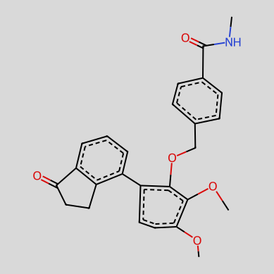 CNC(=O)c1ccc(COc2c(-c3cccc4c3CCC4=O)ccc(OC)c2OC)cc1